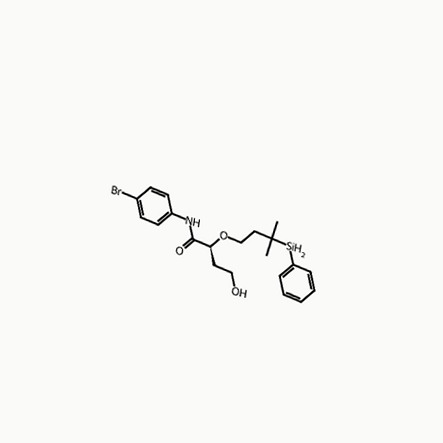 CC(C)(CCO[C@@H](CCO)C(=O)Nc1ccc(Br)cc1)[SiH2]c1ccccc1